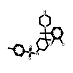 Cc1ccc(S(=O)(=O)NC2CCC(F)(C(C)(c3cccc(Cl)c3Cl)N3CCNCC3)CC2)cc1